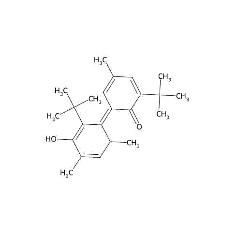 CC1=CC(=C2C(C(C)(C)C)=C(O)C(C)=CC2C)C(=O)C(C(C)(C)C)=C1